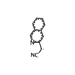 N#C[CH]c1cc2ccccc2cn1